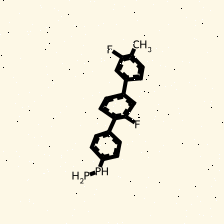 Cc1ccc(-c2ccc(-c3ccc(PP)cc3)c(F)c2)cc1F